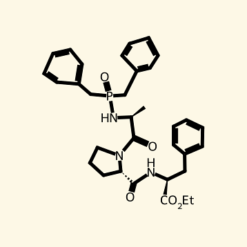 CCOC(=O)[C@H](Cc1ccccc1)NC(=O)[C@@H]1CCCN1C(=O)[C@H](C)NP(=O)(Cc1ccccc1)Cc1ccccc1